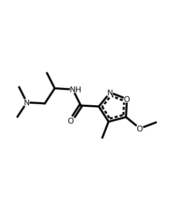 COc1onc(C(=O)NC(C)CN(C)C)c1C